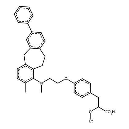 CCOC(Cc1ccc(OCCN(C)c2c(C)ccc3c2CCc2ccc(-c4ccccc4)cc2C3)cc1)C(=O)O